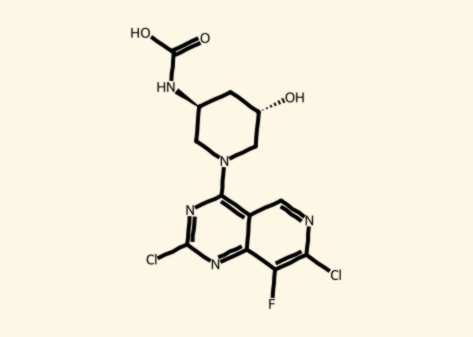 O=C(O)N[C@H]1C[C@H](O)CN(c2nc(Cl)nc3c(F)c(Cl)ncc23)C1